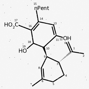 C=C(C)[C@@H]1CCC(C)=C[C@H]1C1C(O)=CC(CCCCC)=C(C(=O)O)C1O